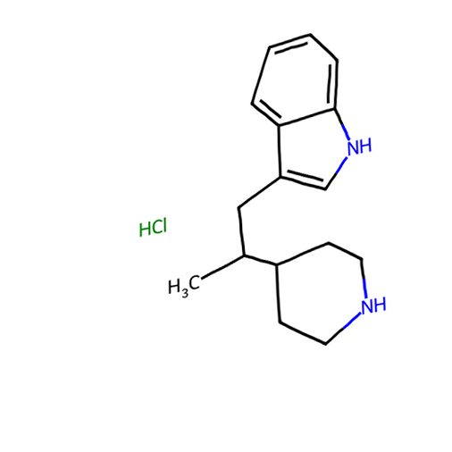 CC(Cc1c[nH]c2ccccc12)C1CCNCC1.Cl